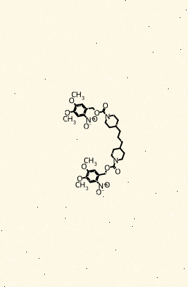 COc1cc(COC(=O)N2CCC(CCCC3CCN(C(=O)OCc4cc(OC)c(OC)cc4[N+](=O)[O-])CC3)CC2)c([N+](=O)[O-])cc1OC